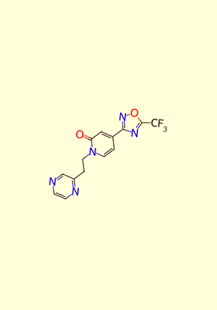 O=c1cc(-c2noc(C(F)(F)F)n2)ccn1CCc1cnccn1